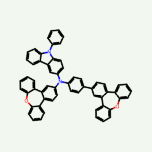 c1ccc(-n2c3ccccc3c3cc(N(c4ccc(-c5ccc6c(c5)-c5ccccc5Oc5ccccc5-6)cc4)c4ccc5c(c4)-c4ccccc4Oc4ccccc4-5)ccc32)cc1